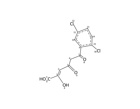 O=C(/C=C(\O)C(=O)O)CC(=O)c1cc(Cl)ccc1Cl